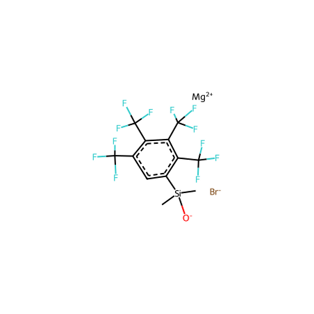 C[Si](C)([O-])c1cc(C(F)(F)F)c(C(F)(F)F)c(C(F)(F)F)c1C(F)(F)F.[Br-].[Mg+2]